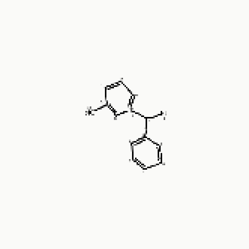 CCC(c1ccccc1)[n+]1cccc(C#N)c1